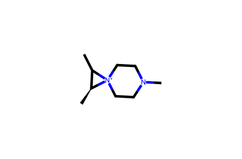 CC1[C@H](C)[N+]12CCN(C)CC2